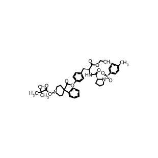 CCOC(=O)[C@H](Cc1ccc(OC(=O)C2(c3ccccc3)CCN(OC(=O)C(C)(C)C)CC2)cc1)NC(=O)[C@@H]1CCCN1S(=O)(=O)c1ccc(C)cc1